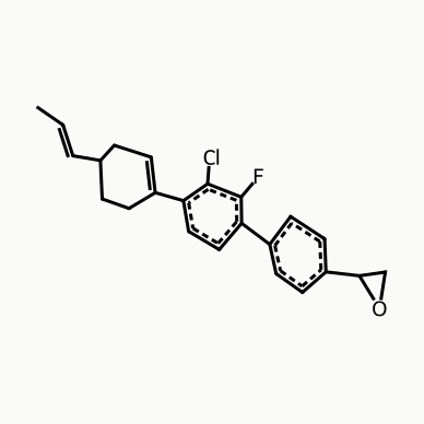 C/C=C/C1CC=C(c2ccc(-c3ccc(C4CO4)cc3)c(F)c2Cl)CC1